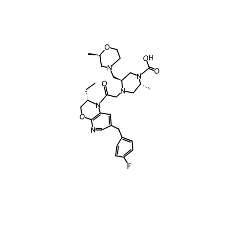 CC[C@H]1COc2ncc(Cc3ccc(F)cc3)cc2N1C(=O)CN1C[C@@H](C)N(C(=O)O)C[C@@H]1CN1CCO[C@H](C)C1